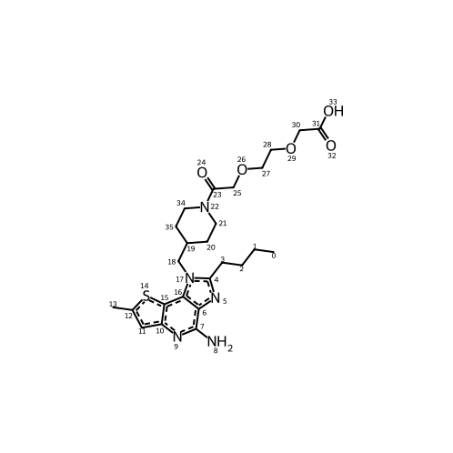 CCCCc1nc2c(N)nc3cc(C)sc3c2n1CC1CCN(C(=O)COCCOCC(=O)O)CC1